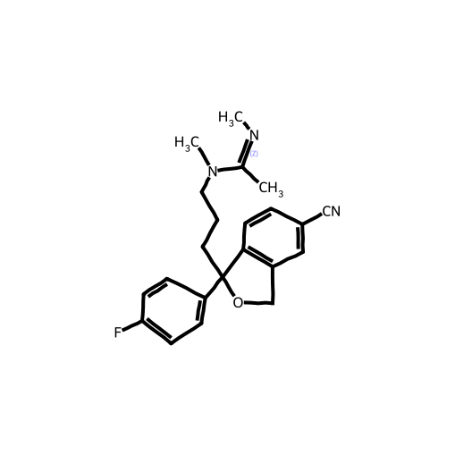 C/N=C(/C)N(C)CCCC1(c2ccc(F)cc2)OCc2cc(C#N)ccc21